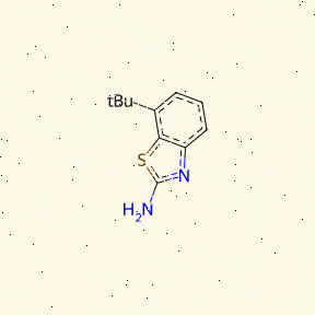 CC(C)(C)c1cccc2nc(N)sc12